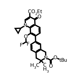 CCOC(=O)c1cn(C2CC2)c2c(OC(F)F)c(-c3ccc4c(c3)CN(C(=O)OC(C)(C)C)C(C)(C)C4)ccc2c1=O